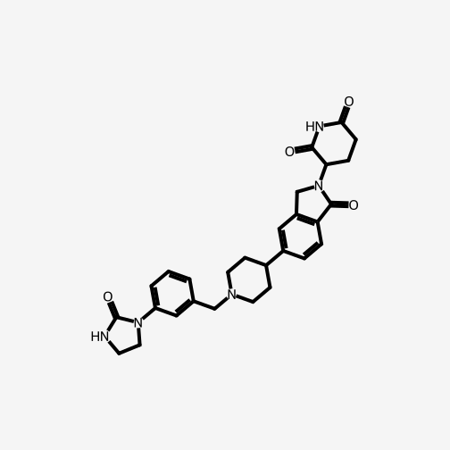 O=C1CCC(N2Cc3cc(C4CCN(Cc5cccc(N6CCNC6=O)c5)CC4)ccc3C2=O)C(=O)N1